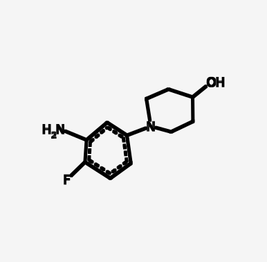 Nc1cc(N2CCC(O)CC2)ccc1F